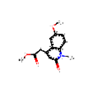 COC(=O)Cc1cc(=O)n(C)c2ccc(OC)cc12